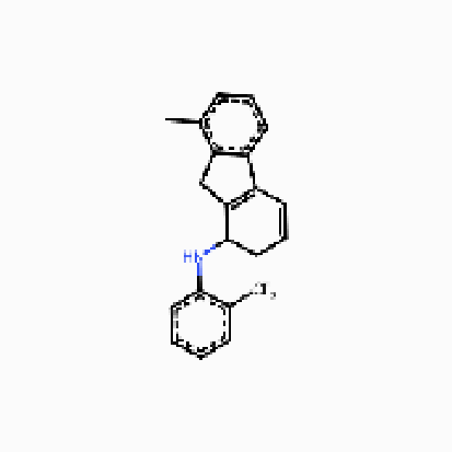 Cc1cccc2c1CC1=C2C=CCC1Nc1ccccc1C(F)(F)F